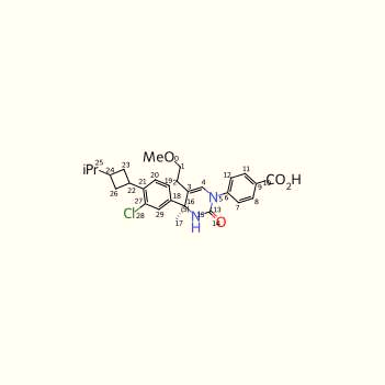 COCCC1=CN(c2ccc(C(=O)O)cc2)C(=O)N[C@@]1(C)c1ccc(C2CC(C(C)C)C2)c(Cl)c1